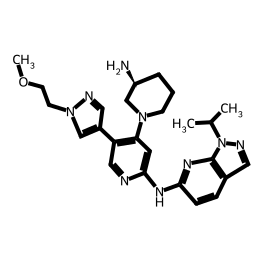 COCCn1cc(-c2cnc(Nc3ccc4cnn(C(C)C)c4n3)cc2N2CCC[C@H](N)C2)cn1